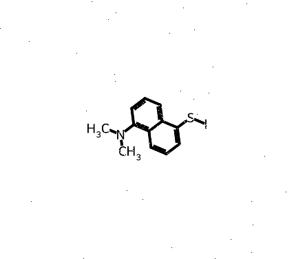 CN(C)c1cccc2c(SI)cccc12